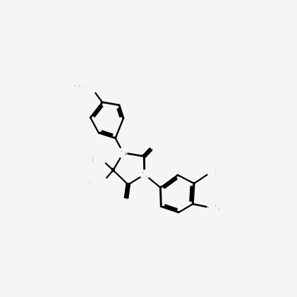 COc1ccc(N2C(=S)N(c3ccc(C#N)c(C(F)(F)F)c3)C(=O)C2(C)C)cc1